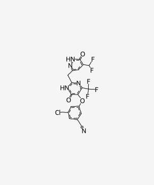 N#Cc1cc(Cl)cc(Oc2c(C(F)(F)F)nc(Cc3cc(C(F)F)c(=O)[nH]n3)[nH]c2=O)c1